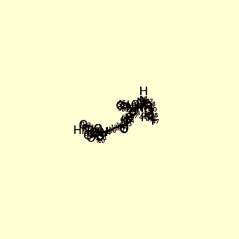 O=C1CCC(N2C(=O)c3cccc(NCCCCCCC(=O)N4CCN(c5ccc(C(=O)Nc6n[nH]c7ccc(Cc8cc(F)cc(F)c8)cc67)c(NC6CCOCC6)c5)CC4)c3C2=O)C(=O)N1